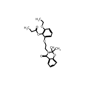 CCOc1cccc(OCCN2C(=O)c3ccccc3OC2(C)C)c1OC(=O)CC